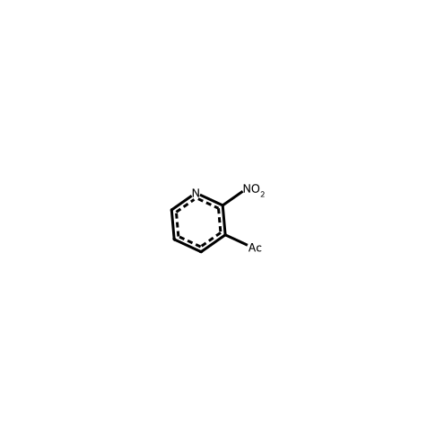 CC(=O)c1cccnc1[N+](=O)[O-]